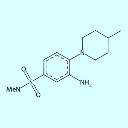 CNS(=O)(=O)c1ccc(N2CCC(C)CC2)c(N)c1